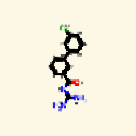 NC(N)=NC(=O)c1cccc(-c2cccc(Cl)c2)c1